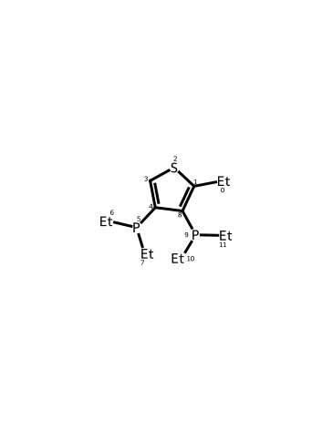 CCc1scc(P(CC)CC)c1P(CC)CC